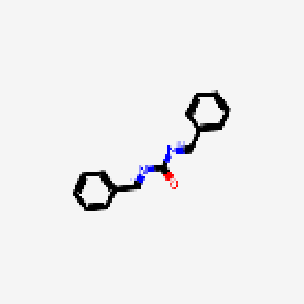 O=C(/N=C/c1ccccc1)/N=C/c1ccccc1